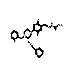 NC(=S)N/N=C/c1cc(F)c(N2CCN(Cc3ccccc3Cl)[C@@H](COCc3ccccc3)C2)cc1F